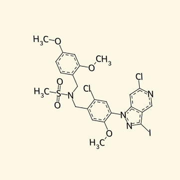 COc1ccc(CN(Cc2cc(OC)c(-n3nc(I)c4cnc(Cl)cc43)cc2Cl)S(C)(=O)=O)c(OC)c1